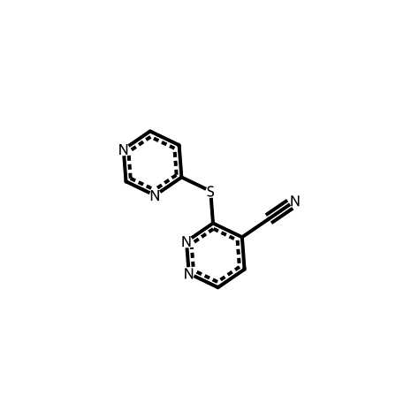 N#Cc1ccnnc1Sc1ccncn1